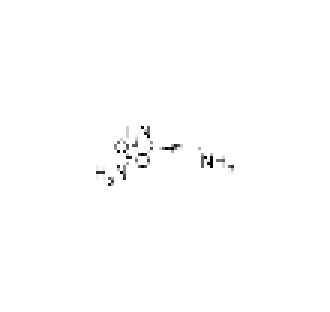 NCC#CC(N)OC(N)=O